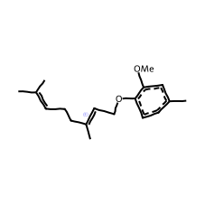 COc1cc(C)ccc1OC/C=C(\C)CCC=C(C)C